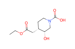 CCOC(=O)C[C@@H]1CCN(C(=O)O)C[C@@H]1O